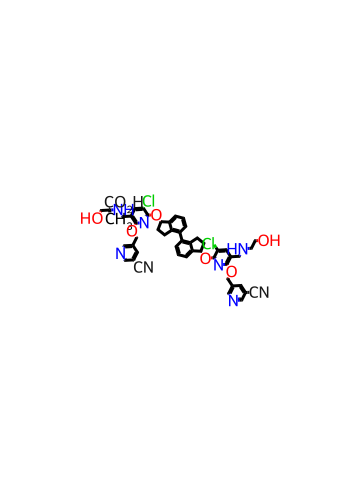 C[C@@](CO)(NCc1cc(Cl)c(OC2CCc3c(-c4cccc5c4CC[C@@H]5Oc4nc(OCc5cncc(C#N)c5)c(CNCCO)cc4Cl)cccc32)nc1OCc1cncc(C#N)c1)C(=O)O